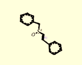 [O-][S+](/C=C/c1ccccc1)Cc1ccccc1